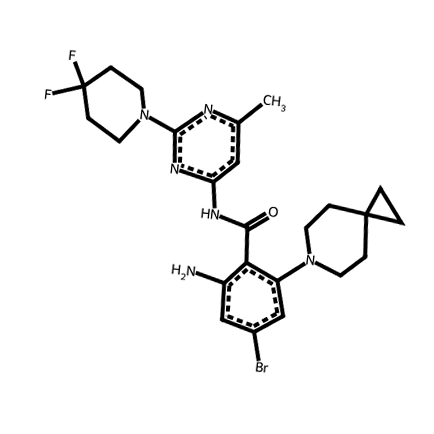 Cc1cc(NC(=O)c2c(N)cc(Br)cc2N2CCC3(CC2)CC3)nc(N2CCC(F)(F)CC2)n1